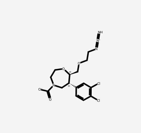 N=[N+]=NCCOC[C@@H]1OCCN(C(=O)[O-])C[C@H]1c1ccc(Cl)c(Cl)c1